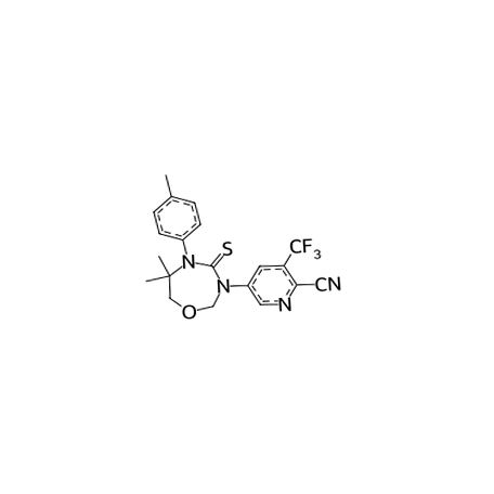 Cc1ccc(N2C(=S)N(c3cnc(C#N)c(C(F)(F)F)c3)COCC2(C)C)cc1